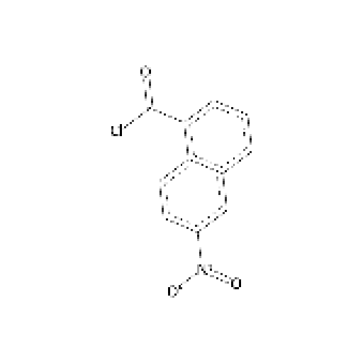 O=C(Cl)c1cccc2cc([N+](=O)[O-])ccc12